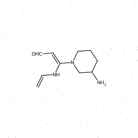 C=CN/C(=C\C=O)N1CCCC(N)C1